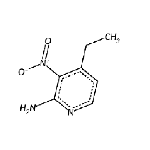 CCc1ccnc(N)c1[N+](=O)[O-]